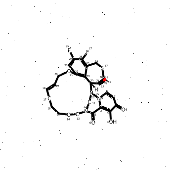 O=C1c2c(O)c(=O)ccn2N2CN1CCCCC/C=C/COc1cc(F)c(F)c3c1[C@@H]2c1ncccc1SC3